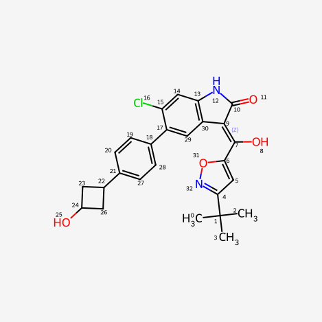 CC(C)(C)c1cc(/C(O)=C2/C(=O)Nc3cc(Cl)c(-c4ccc(C5CC(O)C5)cc4)cc32)on1